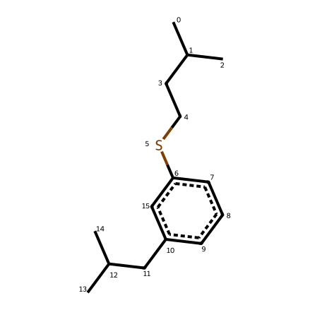 CC(C)CCSc1cccc(CC(C)C)c1